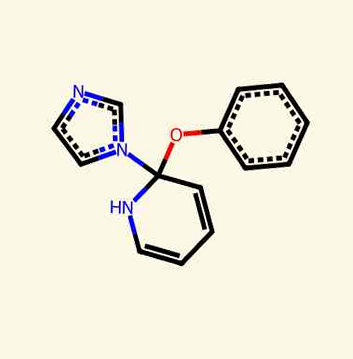 C1=CNC(Oc2ccccc2)(n2ccnc2)C=C1